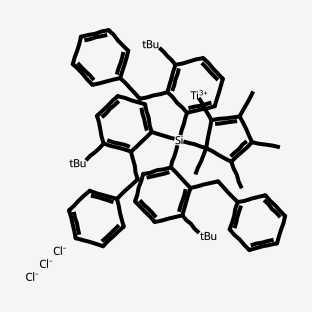 CC1=C(C)C(C)([Si](c2cccc(C(C)(C)C)c2Cc2ccccc2)(c2cccc(C(C)(C)C)c2Cc2ccccc2)c2cccc(C(C)(C)C)c2Cc2ccccc2)[C]([Ti+3])=C1C.[Cl-].[Cl-].[Cl-]